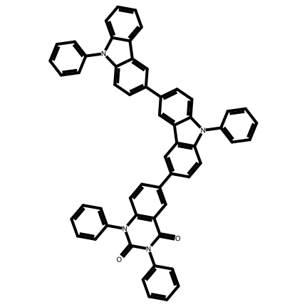 O=c1c2cc(-c3ccc4c(c3)c3cc(-c5ccc6c(c5)c5ccccc5n6-c5ccccc5)ccc3n4-c3ccccc3)ccc2n(-c2ccccc2)c(=O)n1-c1ccccc1